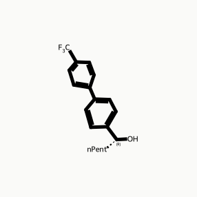 CCCCC[C@@H](O)c1ccc(-c2ccc(C(F)(F)F)cc2)cc1